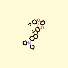 CC(C)(C)c1ccc2c(c1)B1c3cc4c(cc3Oc3cccc(c31)O2)-c1ccc2cc(N(c3ccccc3)c3ccccc3)ccc2c1C4(C)C